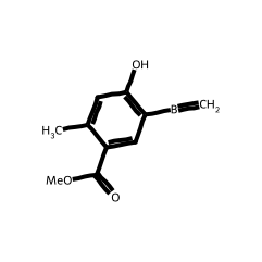 C=Bc1cc(C(=O)OC)c(C)cc1O